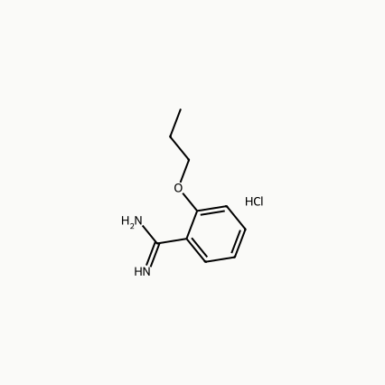 CCCOc1ccccc1C(=N)N.Cl